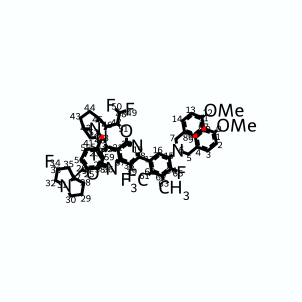 COc1ccc(CN(Cc2ccc(OC)cc2)c2cc(-c3nc4c5c(nc(OC[C@@]67CCCN6C[C@H](F)C7)nc5c3F)N3CC5CCC(C3C(C(F)F)O4)N5Cc3ccccc3)c(C(F)(F)F)c(C)c2F)cc1